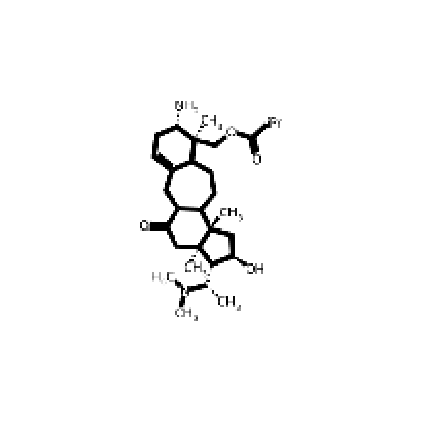 CC(C)C(=O)OC[C@@]1(C)C2CCC3C(CC2=CC[C@@H]1N)C(=O)C[C@]1(C)[C@@H]([C@H](C)N(C)C)[C@H](O)C[C@@]31C